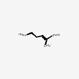 [CH2]C(=CCCCCCCCC)CCCCC